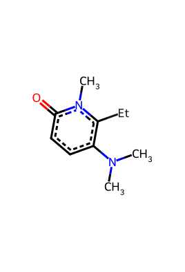 CCc1c(N(C)C)ccc(=O)n1C